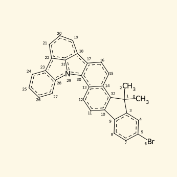 CC1(C)c2cc(Br)ccc2-c2ccc3c(ccc4c5cccc6c7ccccc7n(c34)c65)c21